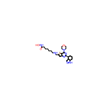 O=C(CCCCCCNCc1cc2nc(-c3cccc4[nH]ncc34)nc(N3CCOCC3)c2s1)NO